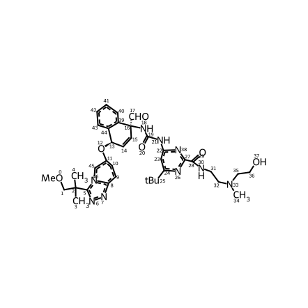 COCC(C)(C)c1nnc2ccc(O[C@@H]3C=C[C@](C=O)(NC(=O)Nc4cc(C(C)(C)C)nc(C(=O)NCCN(C)CCO)n4)c4ccccc43)cn12